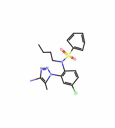 CCCCN(c1ccc(Cl)cc1-n1nnc(I)c1C)S(=O)(=O)c1ccccc1